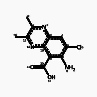 Cc1nc2cc(Cl)c(N)c(C(=O)O)c2nc1C